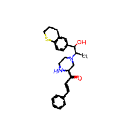 CCC(C(O)c1ccc2c(c1)CCCS2)N1CCNC(C(=O)C=Cc2ccccc2)C1